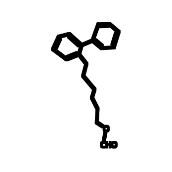 O=COCCCCCCc1ccccc1-c1ccccc1